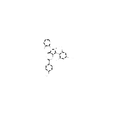 COc1cc(F)c(-c2c(NC(=O)c3ccc(OC(F)(F)F)cc3)c(=O)n(-c3ncccc3Cl)n2C)c(F)c1